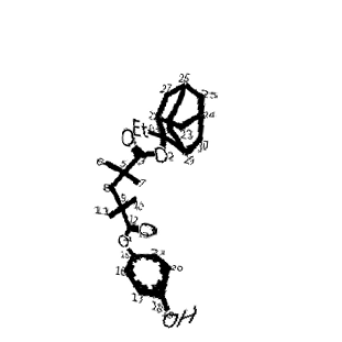 CCC1(OC(=O)C(C)(C)CC(C)(C)C(=O)Oc2ccc(O)cc2)C2CC3CC(C2)CC1C3